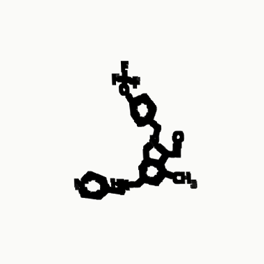 Cc1cc(CNCc2ccncc2)cc2c1C(C=O)N(Cc1ccc(OC(F)(F)F)cc1)C2